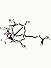 CC(=O)OCCC[Si]12CO[Si]3(C)O[Si]4(C)O[Si](C)(O1)O[Si]1(C)O[Si](C)(O2)O[Si](C)(O3)O[Si](C)(O4)O1